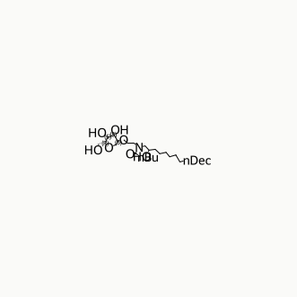 CCCCCCCCCCCCCCCCC(O)CN(CCO[C@H]1CO[C@H](CO)[C@@H](O)[C@@H]1O)C(=O)CCCC